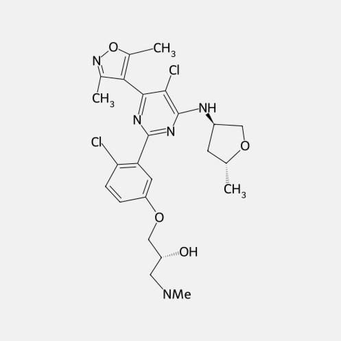 CNC[C@@H](O)COc1ccc(Cl)c(-c2nc(N[C@H]3CO[C@H](C)C3)c(Cl)c(-c3c(C)noc3C)n2)c1